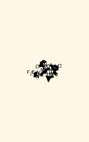 Cc1cc(Cl)cc(C(=O)NCC2CC2)c1NC(=O)c1cc(Cn2ncc(C(F)(F)F)n2)nn1-c1ncccc1Cl